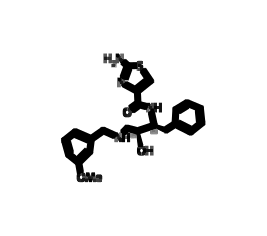 COc1cccc(CNC[C@H](O)[C@H](Cc2ccccc2)NC(=O)c2csc(N)n2)c1